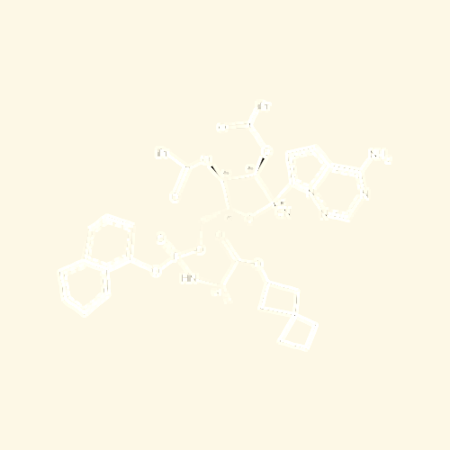 CC(C)C(=O)O[C@H]1[C@@H](OC(=O)C(C)C)[C@](C#N)(c2ccc3c(N)ncnn23)O[C@@H]1COP(=O)(N[C@@H](C)C(=O)OC1CC2(CCC2)C1)Oc1cccc2ccccc12